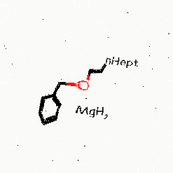 [CH2]CCCCCCCCOCc1ccccc1.[MgH2]